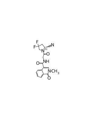 Cn1cc(C(=O)NCC(=O)N2CC(F)(F)C[C@H]2C#N)c2ccccc2c1=O